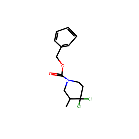 CC1CN(C(=O)OCc2ccccc2)CCC1(Cl)Cl